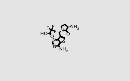 Nc1ncnc2c(CN3CC[C@H](N)C3=O)csc12.O=C(O)C(F)(F)F